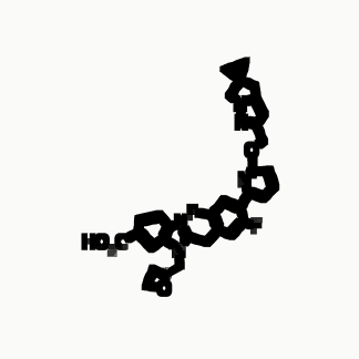 O=C(O)c1ccc2nc(Cc3cc(F)c(-c4cccc(OCc5cc6n(n5)CC5(CC5)C6)n4)cc3F)n(C[C@@H]3CCO3)c2c1